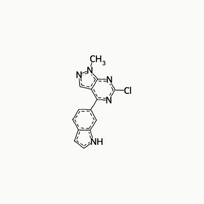 Cn1ncc2c(-c3ccc4cc[nH]c4c3)nc(Cl)nc21